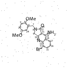 COc1ccc(OC)c(CN2Cc3nc4c(Br)cccc4c(N)c3C2=O)c1